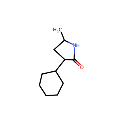 CC1CC(C2CCCCC2)C(=O)N1